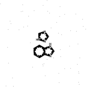 c1ccc2[nH]cnc2c1.c1nc[nH]n1